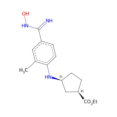 CCOC(=O)[C@@H]1CC[C@H](Nc2ccc(C(=N)NO)cc2C)C1